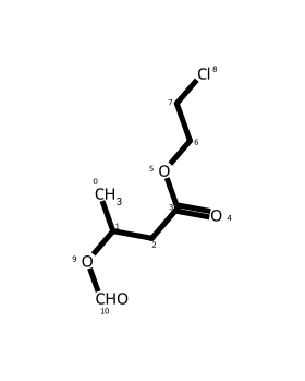 CC(CC(=O)OCCCl)OC=O